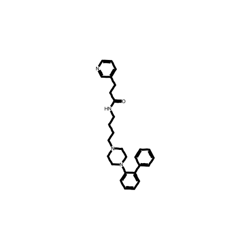 O=C(CCc1cccnc1)NCCCCN1CCN(c2ccccc2-c2ccccc2)CC1